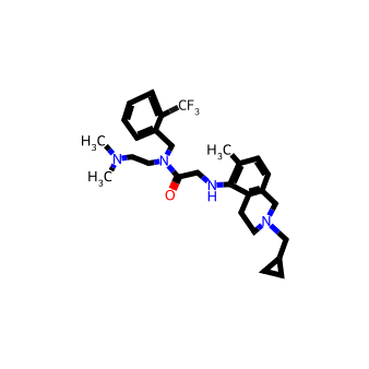 Cc1ccc2c(c1NCC(=O)N(CCN(C)C)Cc1ccccc1C(F)(F)F)CCN(CC1CC1)C2